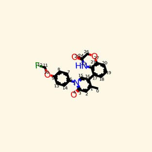 Cc1cc(=O)n(-c2ccc(OCF)cc2)cc1-c1cccc2c1NC(=O)CO2